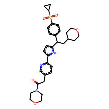 O=C(Cc1ccc(-c2ccc(C(CC3CCOCC3)c3ccc(S(=O)(=O)C4CC4)cc3)[nH]2)nc1)N1CCOCC1